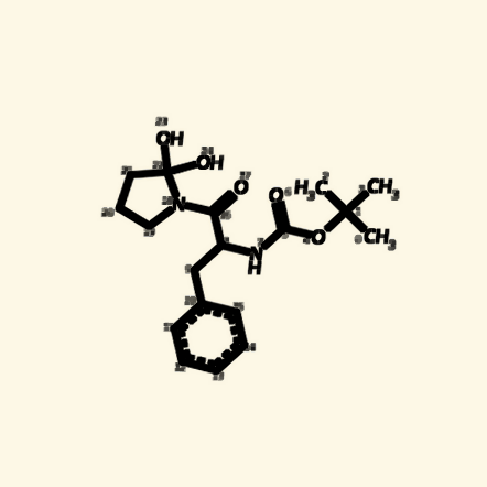 CC(C)(C)OC(=O)NC(Cc1ccccc1)C(=O)N1CCCC1(O)O